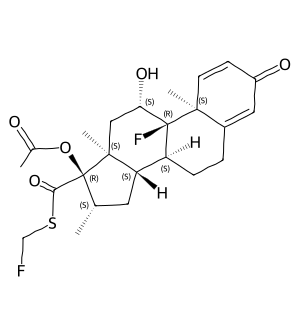 CC(=O)O[C@]1(C(=O)SCF)[C@@H](C)C[C@H]2[C@@H]3CCC4=CC(=O)C=C[C@]4(C)[C@@]3(F)[C@@H](O)C[C@@]21C